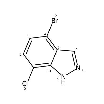 Clc1ccc(Br)c2cn[nH]c12